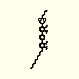 C=CCCC1OCC(c2ccc(-c3ccc(-c4ccc(CCCCCCCCCC)c(F)c4F)cc3)c(F)c2F)CO1